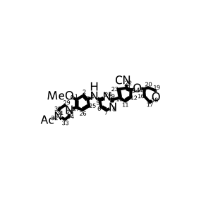 COc1cc(Nc2ccnc(-c3ccc(OC4CCOCC4)c(C#N)c3)n2)ccc1N1CCN(C(C)=O)CC1